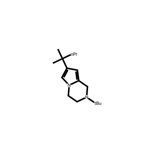 CCCC(C)(C)c1cc2n(c1)CCN(C(C)(C)C)C2